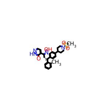 Cc1ccccc1[C@H](CC(=NO)c1ccn[nH]c1=O)c1ccc(C2CCN(S(C)(=O)=O)CC2)cc1